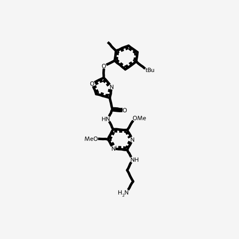 COc1nc(NCCN)nc(OC)c1NC(=O)c1coc(Oc2cc(C(C)(C)C)ccc2C)n1